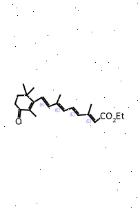 CCOC(=O)/C=C(C)/C=C/C=C(C)/C=C/C1=C(C)C(=O)CCC1(C)C